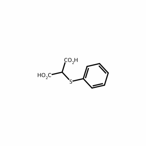 O=C(O)C(Sc1ccccc1)C(=O)O